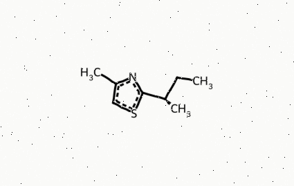 CC[C@@H](C)c1nc(C)cs1